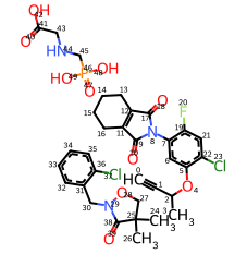 C#CC(C)Oc1cc(N2C(=O)C3=C(CCCC3)C2=O)c(F)cc1Cl.CC1(C)CON(Cc2ccccc2Cl)C1=O.O=C(O)CNCP(=O)(O)O